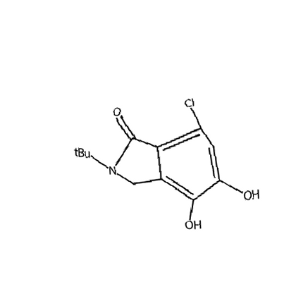 CC(C)(C)N1Cc2c(O)c(O)cc(Cl)c2C1=O